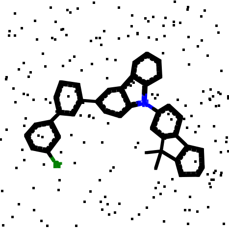 CC1(C)c2ccccc2-c2ccc(-n3c4ccccc4c4cc(-c5cccc(-c6cccc(Br)c6)c5)ccc43)cc21